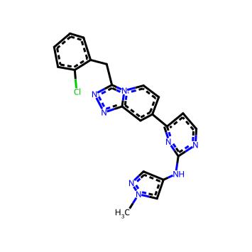 Cn1cc(Nc2nccc(-c3ccn4c(Cc5ccccc5Cl)nnc4c3)n2)cn1